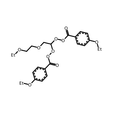 [CH2]COCCOC[C](OOC(=O)c1ccc(OCC)cc1)OOC(=O)c1ccc(OCC)cc1